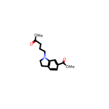 COC(=O)CCCN1CCc2ccc(C(=O)OC)cc21